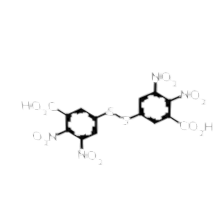 O=C(O)c1cc(SSc2cc(C(=O)O)c([N+](=O)[O-])c([N+](=O)[O-])c2)cc([N+](=O)[O-])c1[N+](=O)[O-]